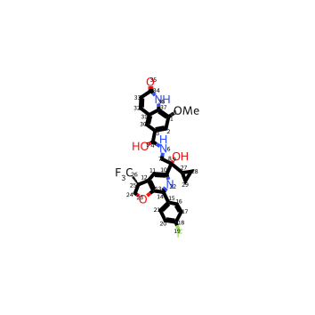 COc1cc(C(O)NCC(O)(c2cc3c(c(-c4ccc(F)cc4)n2)OC[C@H]3C(F)(F)F)C2CC2)cc2ccc(=O)[nH]c12